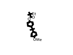 CCC(C)(C)C(=O)Oc1ccc(C(C)(C)c2ccc(OC)cc2)cc1